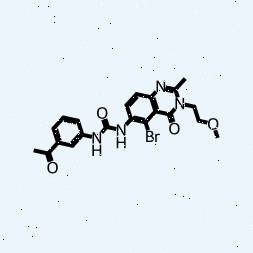 COCCn1c(C)nc2ccc(NC(=O)Nc3cccc(C(C)=O)c3)c(Br)c2c1=O